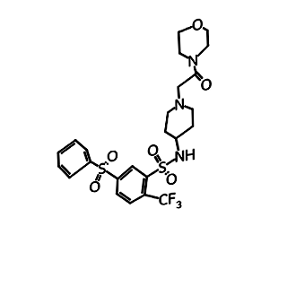 O=C(CN1CCC(NS(=O)(=O)c2cc(S(=O)(=O)c3ccccc3)ccc2C(F)(F)F)CC1)N1CCOCC1